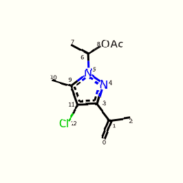 C=C(C)c1nn(C(C)OC(C)=O)c(C)c1Cl